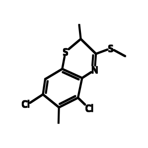 CSC1=Nc2c(cc(Cl)c(C)c2Cl)SC1C